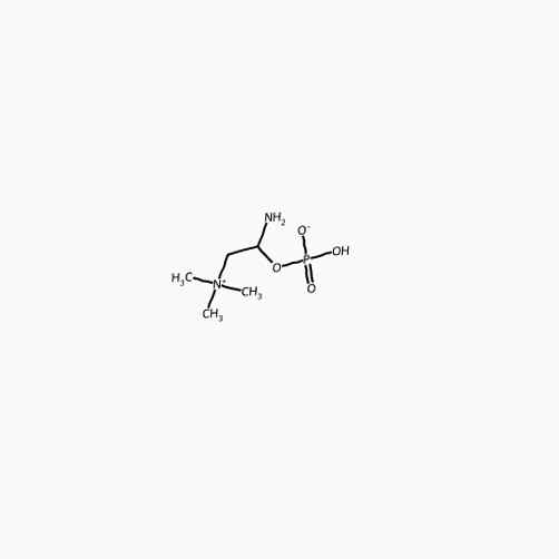 C[N+](C)(C)CC(N)OP(=O)([O-])O